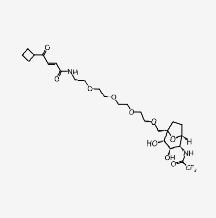 O=C(/C=C/C(=O)C1CCC1)NCCOCCOCCOCCOC[C@@]12CC[C@@H](O1)[C@@H](NC(=O)C(F)(F)F)[C@@H](O)[C@H]2O